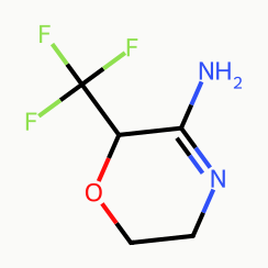 NC1=NCCOC1C(F)(F)F